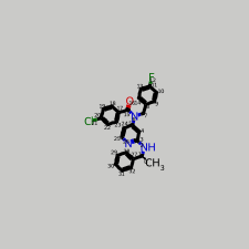 C[C@H](Nc1cc(N(Cc2ccc(F)cc2)C(=O)c2ccc(Cl)cc2)ccn1)c1ccccc1